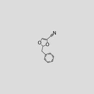 N#CC1=COC(Cc2ccccc2)O1